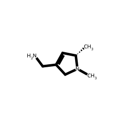 C[C@H]1C=C(CN)CN1C